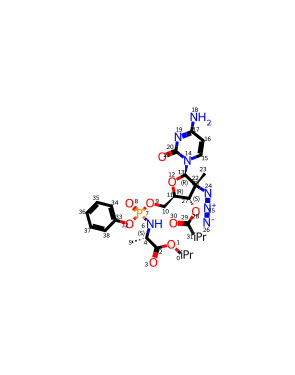 CC(C)OC(=O)[C@H](C)NP(=O)(OC[C@H]1O[C@@H](n2ccc(N)nc2=O)[C@](C)(N=[N+]=[N-])[C@@H]1OC(=O)C(C)C)Oc1ccccc1